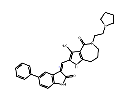 Cc1c(/C=C2\C(=O)Nc3ccc(-c4ccccc4)cc32)[nH]c2c1C(=O)N(CCN1CCCC1)CCC2